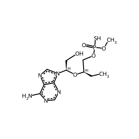 CC[C@H](COP(=O)(S)OC)O[C@H](CO)n1cnc2c(N)ncnc21